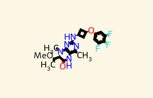 CO[C@H](C)[C@H]1C(=O)Nc2c(C)nc(N[C@H]3C[C@H](Oc4cc(F)c(F)c(F)c4)C3)nc2N1C